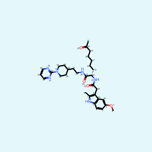 COc1ccc2[nH]c(C)c(CC(=O)N[C@@H](CCCCCC(C)=O)C(=O)NCCC3CCN(c4ncccn4)CC3)c2c1